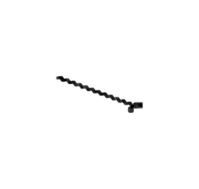 CC=CCCCCCCCCCCCCCCCCCCCCCC(=O)O